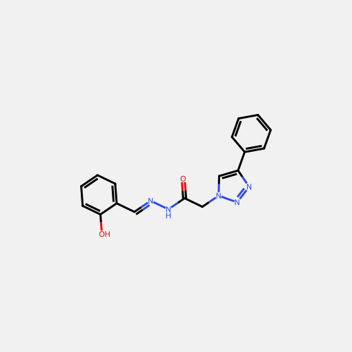 O=C(Cn1cc(-c2ccccc2)nn1)NN=Cc1ccccc1O